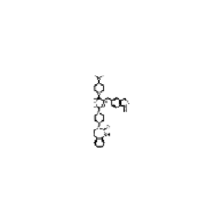 CN(C)C1CCN(C(=O)[C@@H](Cc2ccc3[nH]ncc3c2)OC(=O)N2CCC(N3CCc4ccccc4NC3=O)CC2)CC1